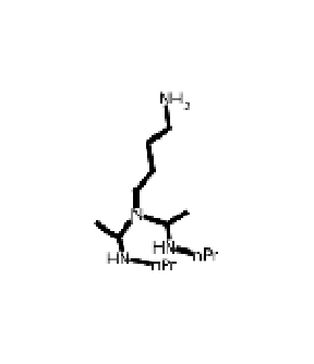 CCCNC(C)N(CCCCN)C(C)NCCC